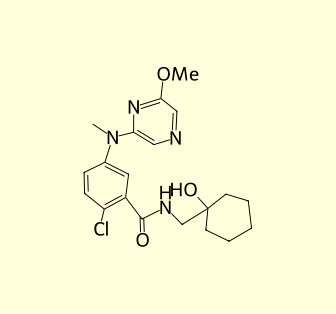 COc1cncc(N(C)c2ccc(Cl)c(C(=O)NCC3(O)CCCCC3)c2)n1